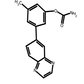 Cc1cc(OC(N)=O)cc(-c2ccc3nccnc3c2)c1